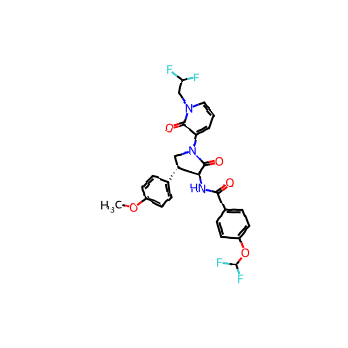 COc1ccc([C@@H]2CN(c3cccn(CC(F)F)c3=O)C(=O)C2NC(=O)c2ccc(OC(F)F)cc2)cc1